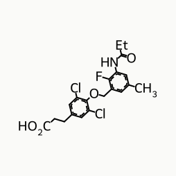 CCC(=O)Nc1cc(C)cc(COc2c(Cl)cc(CCC(=O)O)cc2Cl)c1F